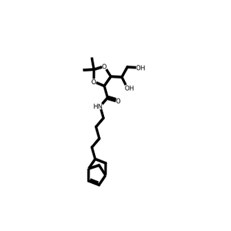 CC1(C)OC(C(=O)NCCCCC2CC3C=CC2C3)C(C(O)CO)O1